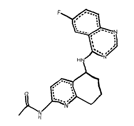 CC(=O)Nc1ccc2c(n1)CCCC2Nc1ncnc2ccc(F)cc12